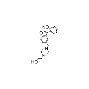 O=[N+]([O-])c1oc2ccc(CN3CCN(CCO)CC3)cc2c1-c1ccccc1